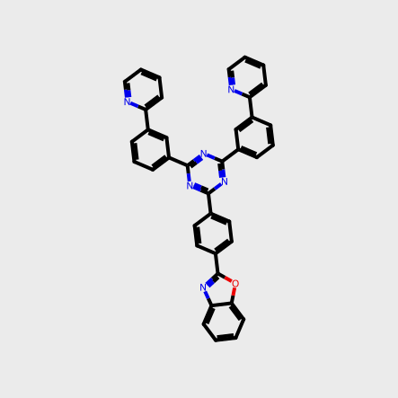 c1ccc(-c2cccc(-c3nc(-c4ccc(-c5nc6ccccc6o5)cc4)nc(-c4cccc(-c5ccccn5)c4)n3)c2)nc1